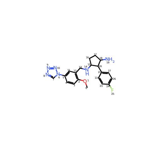 COc1ccc(-n2cnnn2)cc1CNC1CCC(N)C1c1ccc(F)cc1